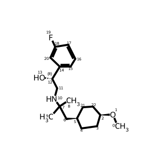 CO[C@H]1CC[C@@H](CC(C)(C)NC[C@H](O)c2cccc(F)c2)CC1